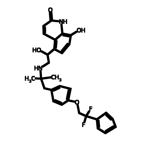 CC(C)(Cc1ccc(OCC(F)(F)c2ccccc2)cc1)NCC(O)c1ccc(O)c2[nH]c(=O)ccc12